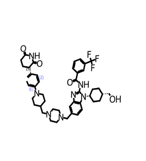 C=C(/C=C\C(=C/C)N1CCC(CN2CCN(Cc3ccc4c(c3)nc(NC(=O)c3cccc(C(F)(F)F)c3)n4[C@H]3CC[C@@H](CO)CC3)CC2)CC1)[C@@H]1CCC(=O)NC1=O